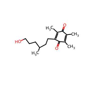 CC1=C(C)C(=O)C(CCC(C)CCCO)=C(C)C1=O